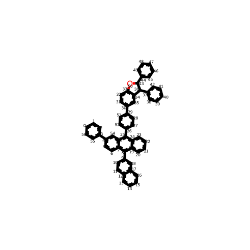 c1ccc(-c2ccc3c(-c4ccc5ccccc5c4)c4ccccc4c(-c4ccc(-c5ccc6c(c5)C(c5ccccc5)C(c5ccccc5)O6)cc4)c3c2)cc1